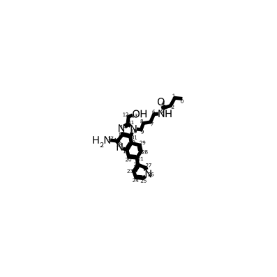 CCCC(=O)NCCCCn1c(CO)nc2c(N)nc3cc(-c4cccnc4)ccc3c21